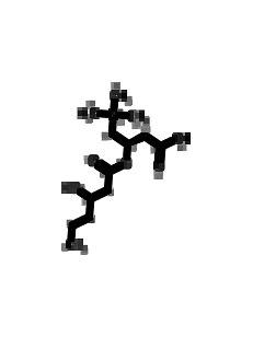 CCCC(O)CC(=O)O[C@H](CC(=O)O)C[N+](C)(C)C